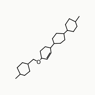 CC1CCC(COC2C=CC(C3CCC(C4CCC(C)CC4)CC3)CC2)CC1